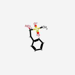 CS(=O)(=O)[C@H](O)Cc1ccccc1